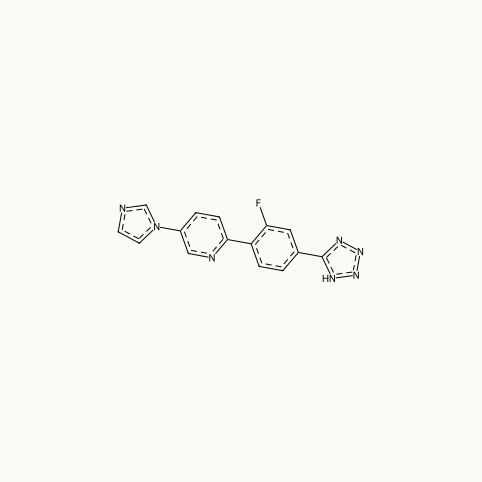 Fc1cc(-c2nnn[nH]2)ccc1-c1ccc(-n2ccnc2)cn1